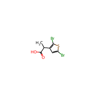 CC(C(=O)O)c1cc(Br)sc1Br